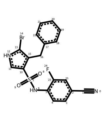 N#Cc1ccc(NS(=O)(=O)c2c[nH]c(Br)c2Cc2ccccc2)c(F)c1